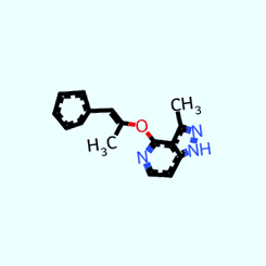 C/C(=C\c1ccccc1)Oc1nccc2[nH]nc(C)c12